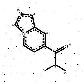 CC(C)C(=O)c1ccn2cncc2c1